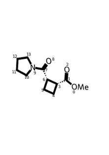 COC(=O)[C@@H]1CC[C@@H]1C(=O)N1CCCC1